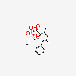 Cc1cc(C)c(-c2ccccc2)c(C)c1C(=O)P(=O)(O)O.[Li]